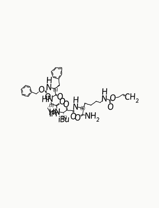 C=CCOC(=O)NCCCC[C@H](NC(=O)C(=O)C(NC(=O)[C@H](CC(C)C)NC(=O)[C@H](Cc1ccccc1)NC(=O)OCc1ccccc1)[C@@H](C)CC)C(N)=O